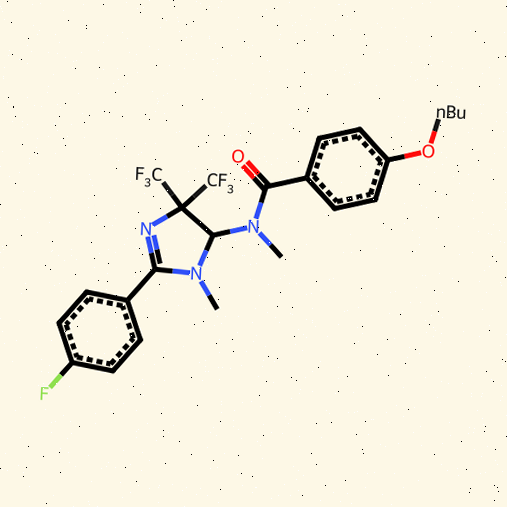 CCCCOc1ccc(C(=O)N(C)C2N(C)C(c3ccc(F)cc3)=NC2(C(F)(F)F)C(F)(F)F)cc1